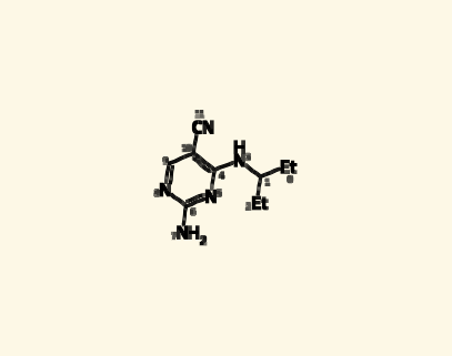 CCC(CC)Nc1nc(N)ncc1C#N